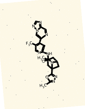 Cc1nnc(C23CC(C)CC(C2)N3C(=O)Nc2cc(-c3cn4ncnc4cn3)c(C(F)(F)F)cn2)o1